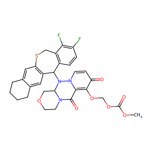 COC(=O)OCOc1c2n(ccc1=O)N(C1c3cc4c(cc3SCc3c1ccc(F)c3F)CCCC4)C1COCCN1C2=O